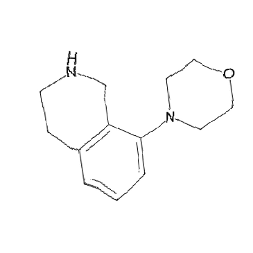 c1cc2c(c(N3CCOCC3)c1)CNCC2